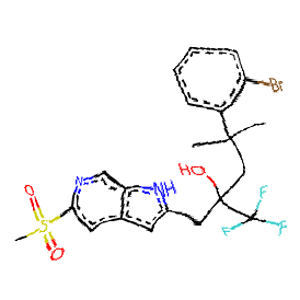 CC(C)(CC(O)(Cc1cc2cc(S(C)(=O)=O)ncc2[nH]1)C(F)(F)F)c1ccccc1Br